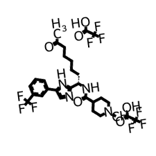 CC(=O)CCCCC[C@H](NC(=O)C1CCN(C)CC1)c1ncc(-c2cccc(C(F)(F)F)c2)[nH]1.O=C(O)C(F)(F)F.O=C(O)C(F)(F)F